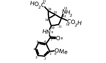 COc1ccccc1C(=O)NC1CC(N)(C(=O)O)C2C(C(=O)O)C12